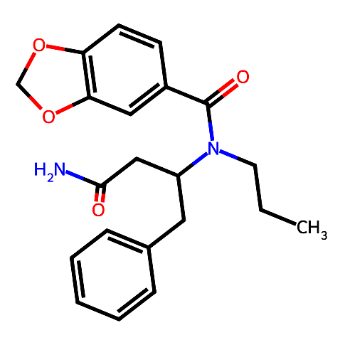 CCCN(C(=O)c1ccc2c(c1)OCO2)C(CC(N)=O)Cc1ccccc1